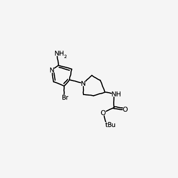 CC(C)(C)OC(=O)NC1CCN(c2cc(N)ncc2Br)CC1